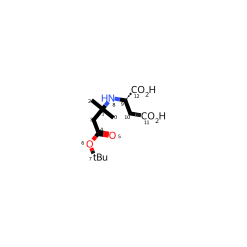 CC(C)(CC(=O)OC(C)(C)C)N[C@@H](CC(=O)O)C(=O)O